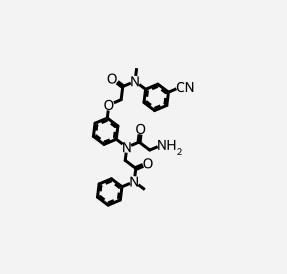 CN(C(=O)COc1cccc(N(CC(=O)N(C)c2ccccc2)C(=O)CN)c1)c1cccc(C#N)c1